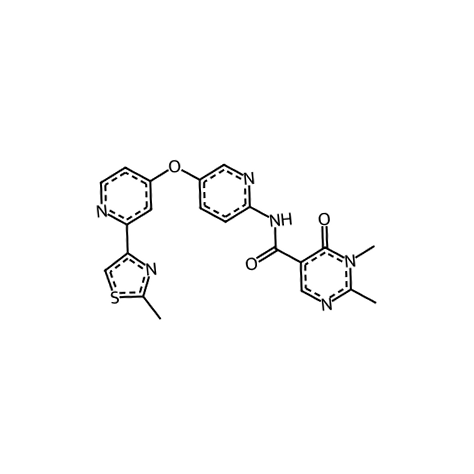 Cc1nc(-c2cc(Oc3ccc(NC(=O)c4cnc(C)n(C)c4=O)nc3)ccn2)cs1